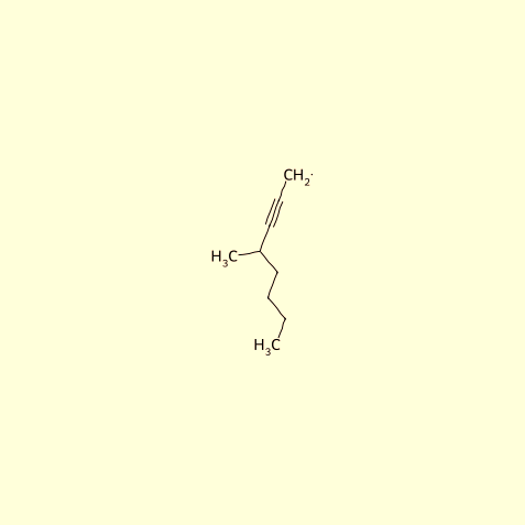 [CH2]C#CC(C)CCCC